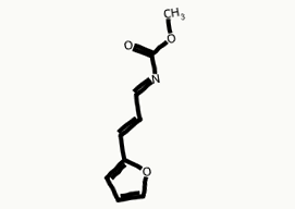 COC(=O)/N=C/C=C/c1ccco1